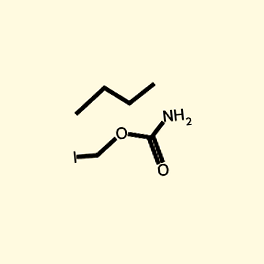 CCCC.NC(=O)OCI